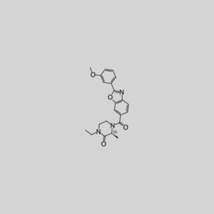 CCN1CCN(C(=O)c2ccc3nc(-c4cccc(OC)c4)oc3c2)[C@@H](C)C1=O